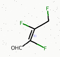 O=C/C(F)=C(\F)CF